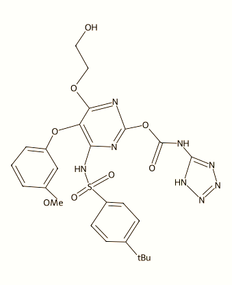 COc1cccc(Oc2c(NS(=O)(=O)c3ccc(C(C)(C)C)cc3)nc(OC(=O)Nc3nnn[nH]3)nc2OCCO)c1